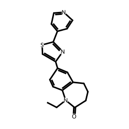 CCN1C(=O)CCCc2cc(-c3csc(-c4ccncc4)n3)ccc21